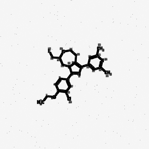 CCOc1ccc(-c2nc(-c3cc(C)nc(C)c3)c3n2CC(CF)OCC3)cc1Cl